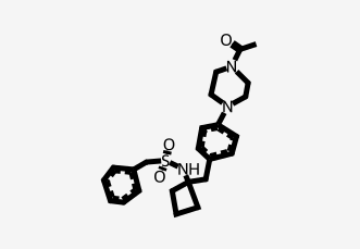 CC(=O)N1CCN(c2ccc(CC3(NS(=O)(=O)Cc4ccccc4)CCC3)cc2)CC1